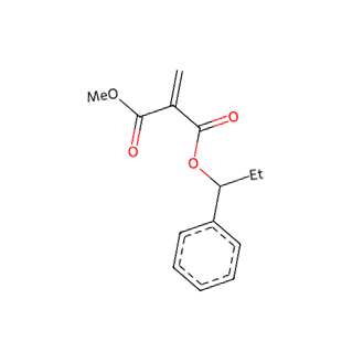 C=C(C(=O)OC)C(=O)OC(CC)c1ccccc1